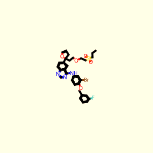 CCCS(=O)(=O)CCOCCC1(c2ccc3ncnc(Nc4ccc(OCc5cccc(F)c5)c(Br)c4)c3c2)CC=CO1